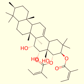 C/C=C(/C)C(=O)O[C@H]1[C@H](OC(=O)/C(C)=C\C)[C@@]2(CO)C(CC1(C)C)C1=CCC3[C@@]4(C)CC[C@H](C)C(C)(C)C4CC[C@@]3(C)[C@]1(C)[C@@H](O)[C@H]2O